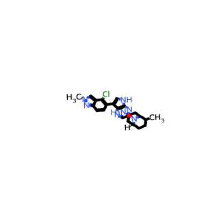 CC1CC[C@H]2C[C@@H](N)CC1N2c1cnc2c(-c3ccc4nn(C)cc4c3Cl)c[nH]c2n1